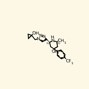 C[C@H]1CC(O)(c2ccc(C(F)(F)F)cc2)C[C@@H](c2cn(CC3(O)CC3)nn2)N1